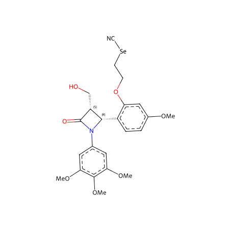 COc1ccc([C@H]2[C@@H](CO)C(=O)N2c2cc(OC)c(OC)c(OC)c2)c(OCC[Se]C#N)c1